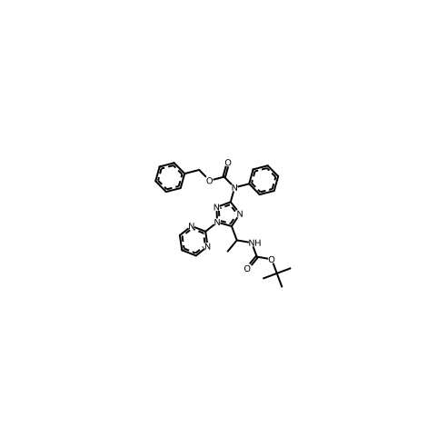 CC(NC(=O)OC(C)(C)C)c1nc(N(C(=O)OCc2ccccc2)c2ccccc2)nn1-c1ncccn1